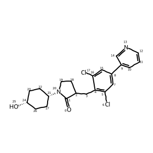 O=C1C(Cc2c(Cl)cc(-c3cccnc3)cc2Cl)CCN1[C@H]1CC[C@@H](O)CC1